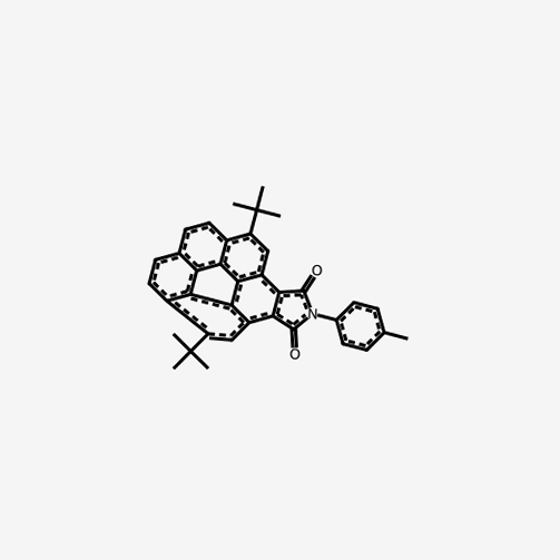 Cc1ccc(-n2c(=O)c3c4cc(C(C)(C)C)c5ccc6ccc7c(C(C)(C)C)cc(c3c2=O)c2c7c6c5c42)cc1